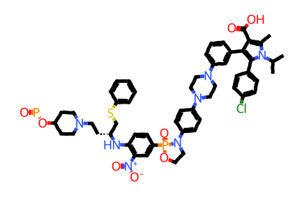 Cc1c(C(=O)O)c(-c2cccc(N3CCN(c4ccc(N5CCOP5(=O)c5ccc(N[C@H](CCN6CCC(OP=O)CC6)CSc6ccccc6)c([N+](=O)[O-])c5)cc4)CC3)c2)c(-c2ccc(Cl)cc2)n1C(C)C